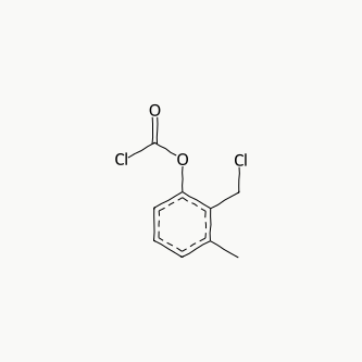 Cc1cccc(OC(=O)Cl)c1CCl